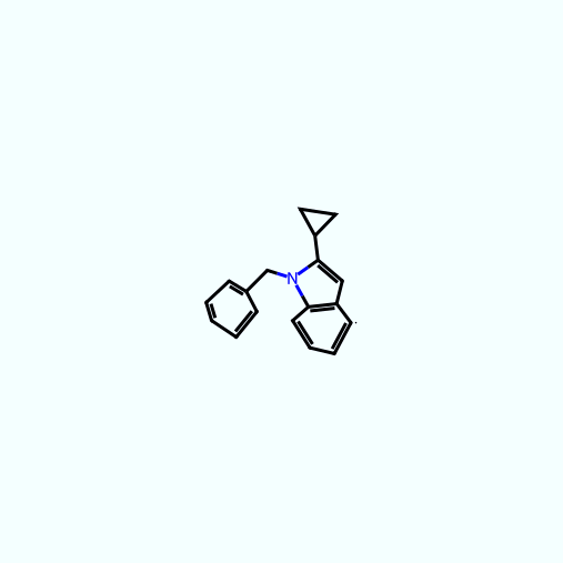 [c]1cccc2c1cc(C1CC1)n2Cc1ccccc1